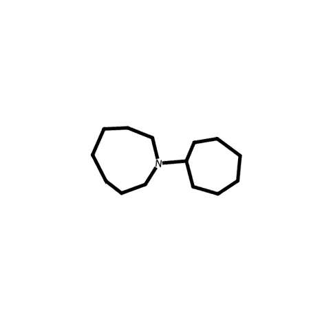 [CH]1CCCCN(C2CCCCCC2)CC1